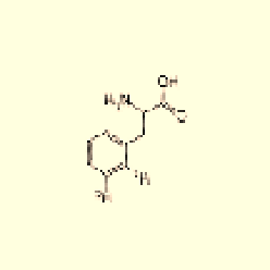 [2H]c1cccc(CC(N)C(=O)O)c1[2H]